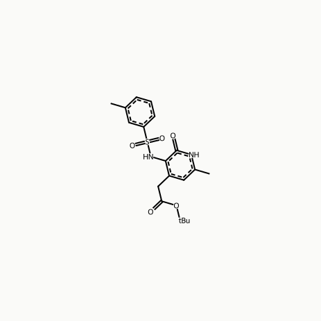 Cc1cccc(S(=O)(=O)Nc2c(CC(=O)OC(C)(C)C)cc(C)[nH]c2=O)c1